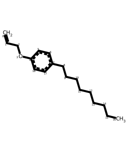 C=CCOc1ccc(CCCCCCCCC)cc1